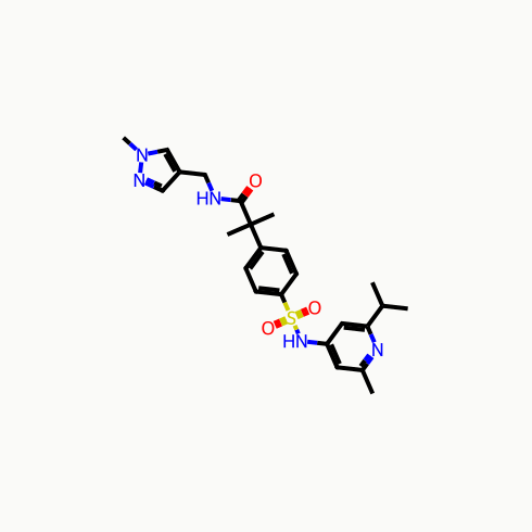 Cc1cc(NS(=O)(=O)c2ccc(C(C)(C)C(=O)NCc3cnn(C)c3)cc2)cc(C(C)C)n1